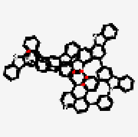 c1cc(-c2ccc3nccc(-c4cccc(-n5c6ccccc6c6cc(-c7ccc8sc9ccccc9c8c7)ccc65)c4)c3c2-c2cccc(-n3c4ccccc4c4cc(-c5ccc6sc7ccccc7c6c5)ccc43)c2)cc(-n2c3ccccc3c3cc(-c4ccc5sc6ccccc6c5c4)ccc32)c1